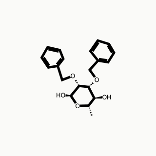 C[C@@H]1O[C@@H](O)[C@H](OCc2ccccc2)[C@H](OCc2ccccc2)[C@H]1O